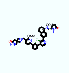 COc1nc(-c2cccc(-c3ccnc(-c4ccc5c(c4)CCC[C@H]5N(C[C@@H]4CCC(=O)N4)C(=O)O)c3Cl)c2Cl)ccc1CN1CC2(CNC(=O)C2)C1